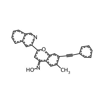 Cc1cc2c(=NO)cc(-c3cc4ccccc4cn3)oc2cc1C#Cc1ccccc1